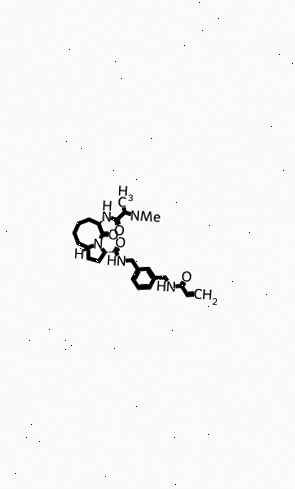 C=CC(=O)NCc1cccc(CNC(=O)[C@@H]2CC[C@@H]3CCCC[C@H](NC(=O)C(C)NC)C(=O)N32)c1